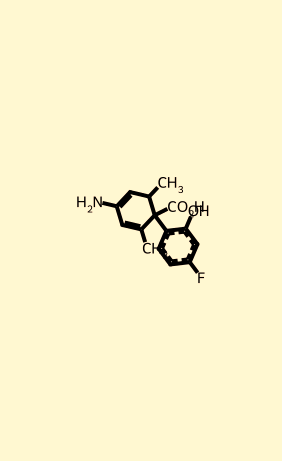 CC1=CC(N)=CC(C)C1(C(=O)O)c1ccc(F)cc1O